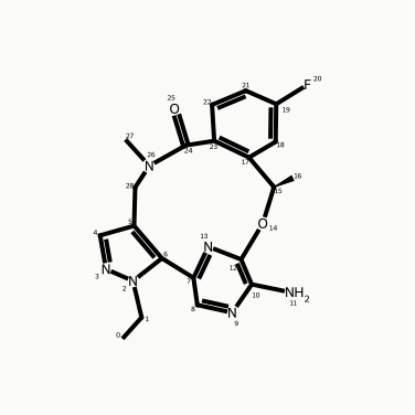 CCn1ncc2c1-c1cnc(N)c(n1)O[C@H](C)c1cc(F)ccc1C(=O)N(C)C2